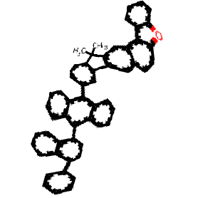 CC1(C)c2ccc(-c3c4ccccc4c(-c4ccc(-c5ccccc5)c5ccccc45)c4ccccc34)cc2-c2cc3ccc4oc5ccccc5c4c3cc21